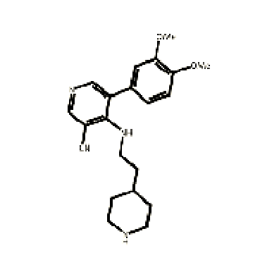 COc1ccc(-c2cncc(C#N)c2NCCC2CCNCC2)cc1OC